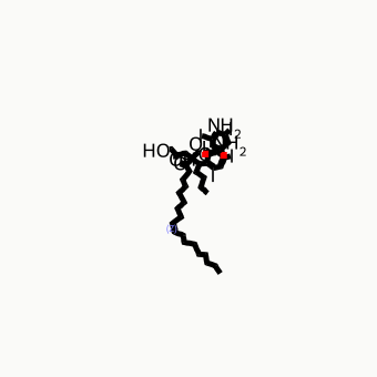 CCCCCCCC/C=C\CCCCCCCC(=O)C(CC(O)CO)(C(=O)Oc1c(I)cc(I)c(N)c1I)C(CCCC)c1c(I)cc(I)c(N)c1I